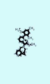 COc1cc(C)cc(C)c1-c1cccc2c(N(Cc3ccncc3)CC3CC3)c(SC)nn12